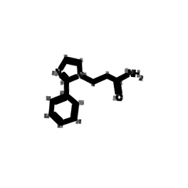 NC(=O)CCn1ccnc1-c1ccccc1